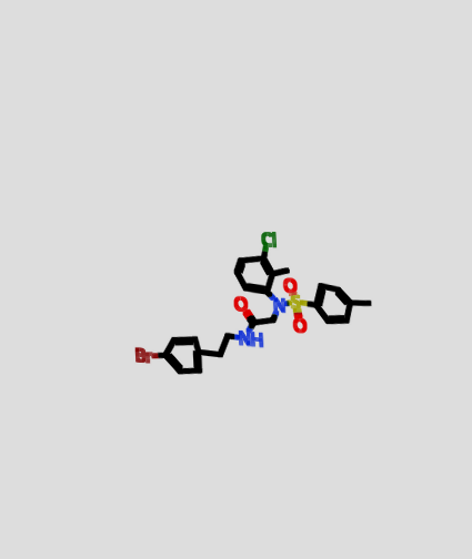 Cc1ccc(S(=O)(=O)N(CC(=O)NCCc2ccc(Br)cc2)c2cccc(Cl)c2C)cc1